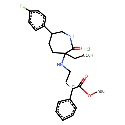 CCCCOC(=O)[C@@H](CCNC1(CC(=O)O)CCC(c2ccc(F)cc2)CNC1=O)c1ccccc1.Cl